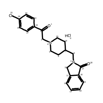 Cl.O=C(CN1CCC(CN2Cc3ccccc3C2=O)CC1)c1ccc(Cl)cc1